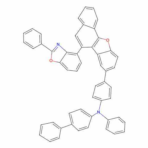 c1ccc(-c2ccc(N(c3ccccc3)c3ccc(-c4ccc5oc6c7ccccc7cc(-c7cccc8oc(-c9ccccc9)nc78)c6c5c4)cc3)cc2)cc1